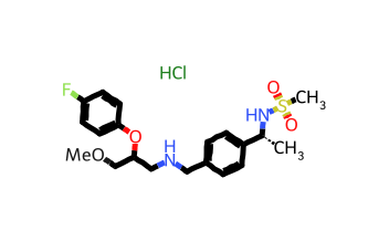 COCC(CNCc1ccc([C@@H](C)NS(C)(=O)=O)cc1)Oc1ccc(F)cc1.Cl